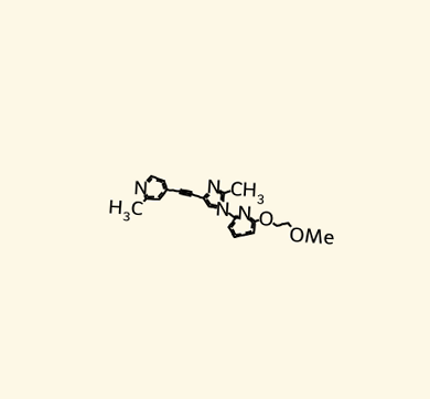 COCCOc1cccc(-n2cc(C#Cc3ccnc(C)c3)nc2C)n1